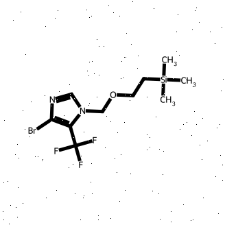 C[Si](C)(C)CCOCn1cnc(Br)c1C(F)(F)F